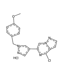 COc1ccc(Cn2cc(-c3cn4nccc4c(Cl)n3)cn2)cc1.Cl